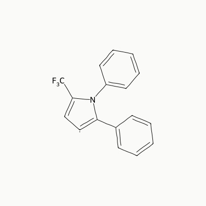 FC(F)(F)c1c[c]c(-c2ccccc2)n1-c1ccccc1